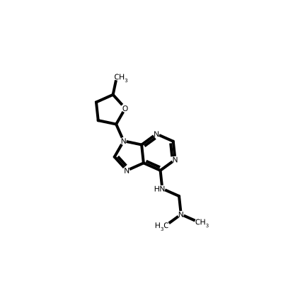 CC1CCC(n2cnc3c(NCN(C)C)ncnc32)O1